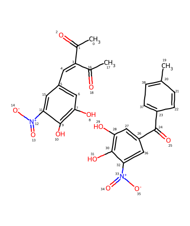 CC(=O)C(=Cc1cc(O)c(O)c([N+](=O)[O-])c1)C(C)=O.Cc1ccc(C(=O)c2cc(O)c(O)c([N+](=O)[O-])c2)cc1